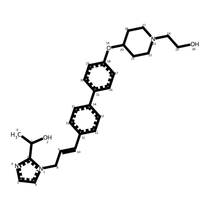 CC(O)c1nccn1C/C=C/c1ccc(-c2ccc(OC3CCN(CCO)CC3)cc2)cc1